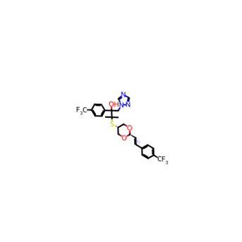 CC(C)(S[C@H]1CO[C@H](/C=C/c2ccc(C(F)(F)F)cc2)OC1)C(O)(Cn1cncn1)c1ccc(C(F)(F)F)cc1